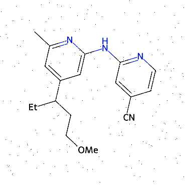 CCC(CCOC)c1cc(C)nc(Nc2cc(C#N)ccn2)c1